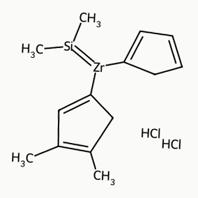 CC1=C(C)C[C]([Zr]([C]2=CC=CC2)=[Si](C)C)=C1.Cl.Cl